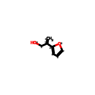 C=C(CO)c1ccco1